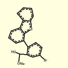 COC(O)c1cc(Br)ccc1-c1cccc2c1sc1ccccc12